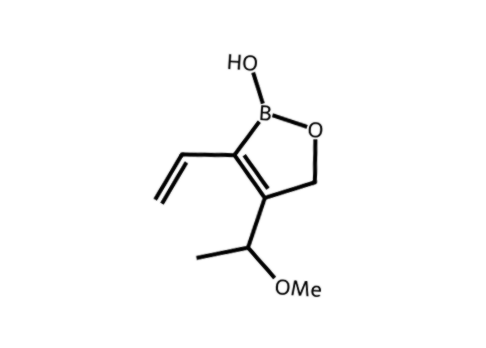 C=CC1=C(C(C)OC)COB1O